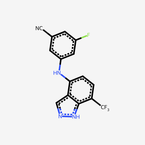 N#Cc1cc(F)cc(Nc2ccc(C(F)(F)F)c3[nH]ncc23)c1